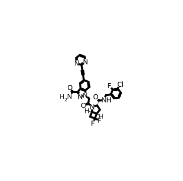 NC(=O)c1nn(CC(=O)N2[C@@H]3CC(F)(F)[C@@H]3C[C@H]2C(=O)NCc2cccc(Cl)c2F)c2ccc(C#Cc3ncccn3)cc12